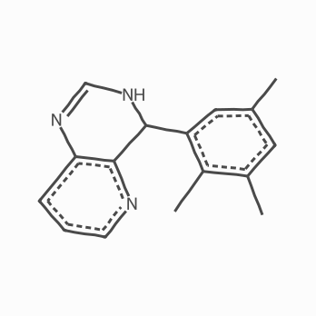 Cc1cc(C)c(C)c(C2NC=Nc3cccnc32)c1